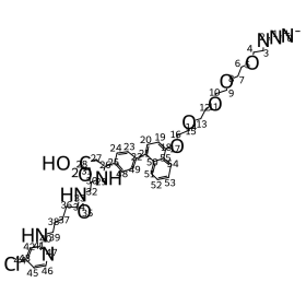 [N-]=[N+]=NCCOCCOCCOCCOCCOc1ccc(-c2ccc([C@H](CC(=O)O)NC(=O)CNC(=O)CCCCNc3cc(Cl)ccn3)cc2)c2ccccc12